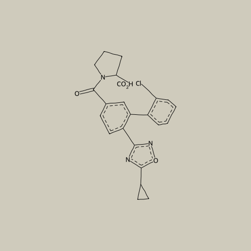 O=C(O)C1CCCN1C(=O)c1ccc(-c2noc(C3CC3)n2)c(-c2ccccc2Cl)c1